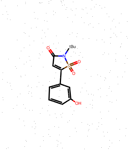 CC(C)(C)N1C(=O)C=C(c2cccc(O)c2)S1(=O)=O